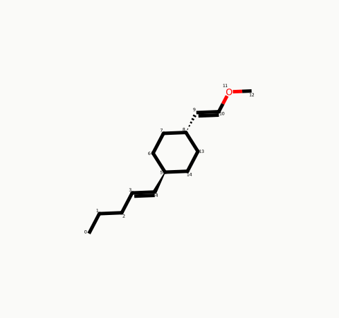 CCC/C=C/[C@H]1CC[C@H](C=COC)CC1